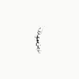 CNC(=O)Cn1cc(-c2nc([C@@](C)(c3ccc(-c4cnc(N)nc4)nc3)C(C)C)no2)cn1